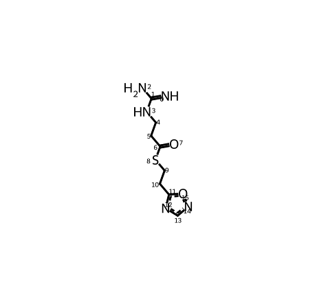 N=C(N)NCCC(=O)SCCc1ncno1